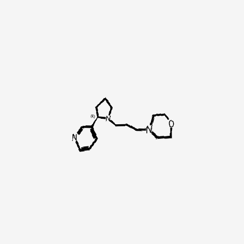 c1cncc([C@H]2CCCN2CCCN2CCOCC2)c1